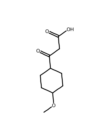 COC1CCC(C(=O)CC(=O)O)CC1